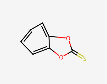 S=c1oc2c[c]ccc2o1